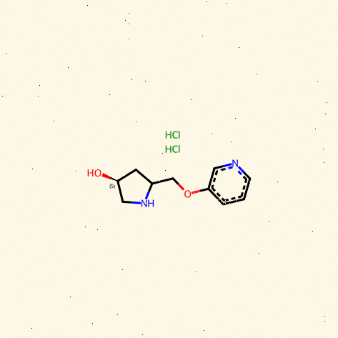 Cl.Cl.O[C@@H]1CNC(COc2cccnc2)C1